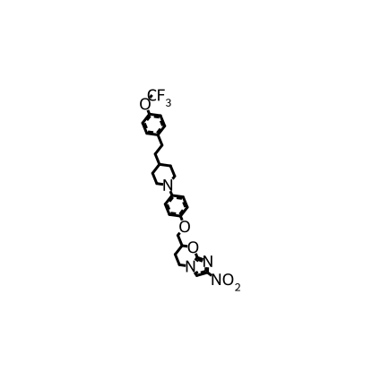 O=[N+]([O-])c1cn2c(n1)OC(COc1ccc(N3CCC(CCc4ccc(OC(F)(F)F)cc4)CC3)cc1)CC2